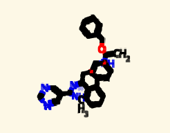 C=C(NCCC/C(=N/C(=N)c1cncnc1)c1c(C)cccc1-c1ccccc1)OCc1ccccc1